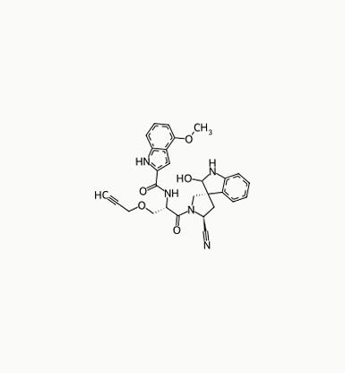 C#CCOC[C@H](NC(=O)c1cc2c(OC)cccc2[nH]1)C(=O)N1C[C@@]2(C[C@H]1C#N)c1ccccc1NC2O